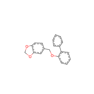 [c]1cccc(OCc2ccc3c(c2)OCO3)c1-c1ccccc1